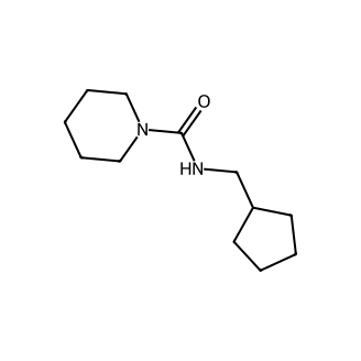 O=C(NCC1CCCC1)N1CCCCC1